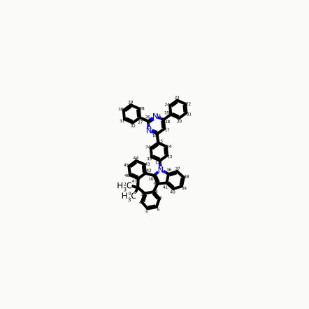 CC1(C)c2ccccc2-c2c(n(-c3ccc(-c4cc(-c5ccccc5)nc(-c5ccccc5)n4)cc3)c3ccccc23)-c2ccccc21